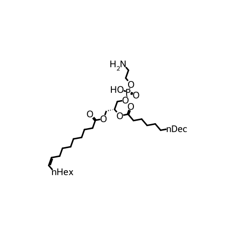 CCCCCC/C=C\CCCCCCCC(=O)OC[C@H](COP(=O)(O)OCCN)OC(=O)CCCCCCCCCCCCCCC